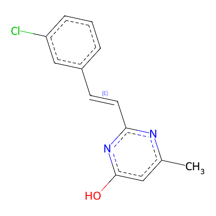 Cc1cc(O)nc(/C=C/c2cccc(Cl)c2)n1